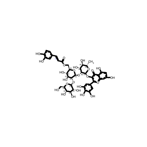 C[C@@H]1O[C@@H](Oc2c(-c3cc(O)c(O)c(O)c3)oc3cc(O)cc(O)c3c2=O)[C@H](O[C@@H]2O[C@H](COC(=O)/C=C/c3ccc(O)c(O)c3)[C@@H](O)[C@H](O)[C@H]2O[C@@H]2O[C@H](CO)[C@@H](O)[C@H](O)[C@H]2O)[C@H](O)[C@H]1O